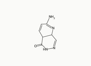 NC1=NC2C=NNC(=O)C2C=C1